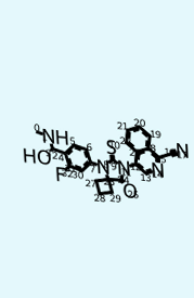 CNC(O)c1ccc(N2C(=S)N(c3cnc(C#N)c4ccccc34)C(=O)C23CCC3)cc1F